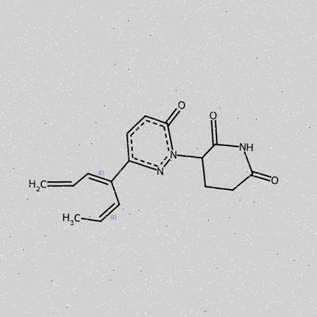 C=C/C=C(\C=C/C)c1ccc(=O)n(C2CCC(=O)NC2=O)n1